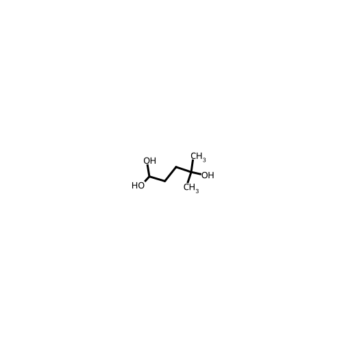 CC(C)(O)CCC(O)O